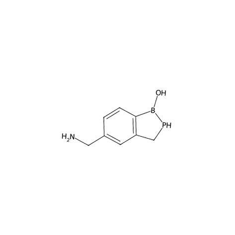 NCc1ccc2c(c1)CPB2O